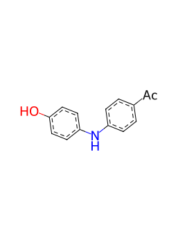 CC(=O)c1ccc(Nc2ccc(O)cc2)cc1